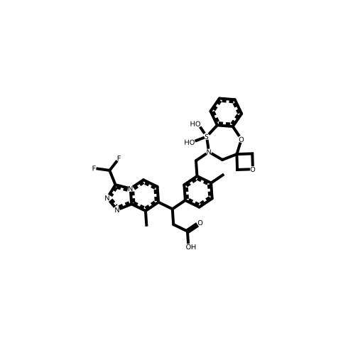 Cc1ccc(C(CC(=O)O)c2ccn3c(C(F)F)nnc3c2C)cc1CN1CC2(COC2)Oc2ccccc2S1(O)O